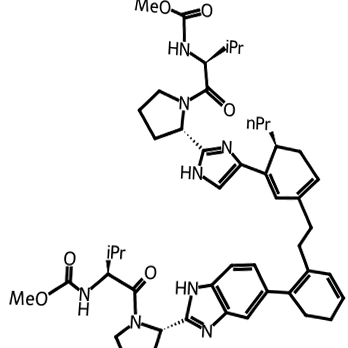 CCC[C@H]1CC=C(CCC2=C(c3ccc4[nH]c([C@@H]5CCCN5C(=O)[C@@H](NC(=O)OC)C(C)C)nc4c3)CCC=C2)C=C1c1c[nH]c([C@@H]2CCCN2C(=O)[C@@H](NC(=O)OC)C(C)C)n1